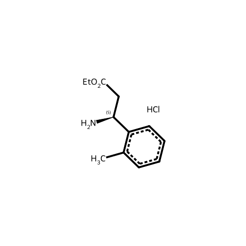 CCOC(=O)C[C@H](N)c1ccccc1C.Cl